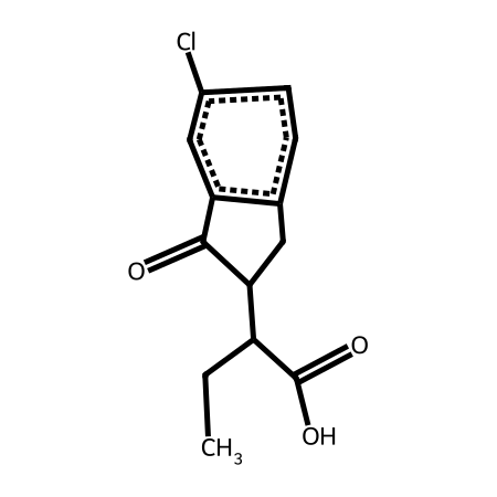 CCC(C(=O)O)C1Cc2ccc(Cl)cc2C1=O